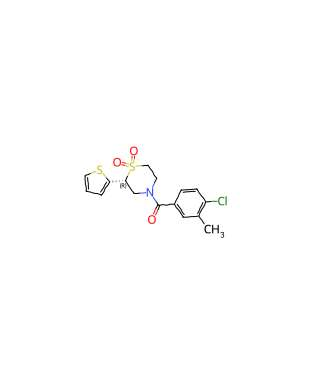 Cc1cc(C(=O)N2CCS(=O)(=O)[C@@H](c3cccs3)C2)ccc1Cl